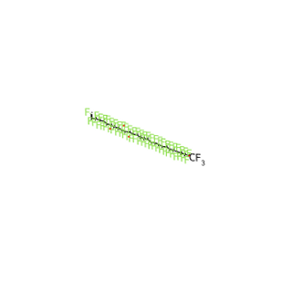 F/[C]=C(\F)C(F)(F)C(F)(F)C(F)(F)C(F)(F)C(F)(F)C(F)(F)C(F)(F)C(F)(F)C(F)(F)C(F)(F)C(F)(F)C(F)(F)C(F)(F)C(F)(F)C(F)(F)C(F)(F)C(F)(F)C(F)(F)C(F)(F)C(F)(F)C(F)(F)C(F)(F)C(F)(F)C(F)(F)C(F)(F)C(F)(F)C(F)(F)F